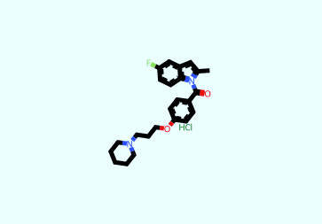 Cc1cc2cc(F)ccc2n1C(=O)c1ccc(OCCCN2CCCCC2)cc1.Cl